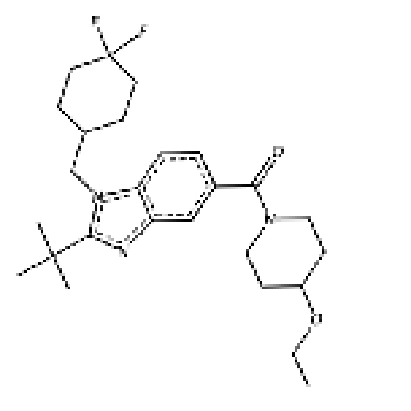 CCOC1CCN(C(=O)c2ccc3c(c2)nc(C(C)(C)C)n3CC2CCC(F)(F)CC2)CC1